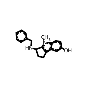 Cn1c2c(c3cc(O)ccc31)CCC2NCc1ccccc1